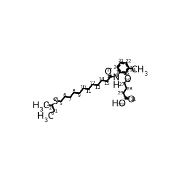 CCC(C)SCCCCCCCCCCCC(=O)Nc1cccc(C)c1OCCCC(=O)O